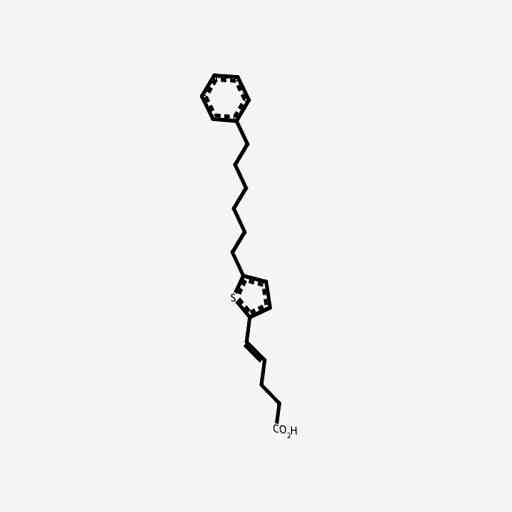 O=C(O)CC/C=C/c1ccc(CCCCCCc2ccccc2)s1